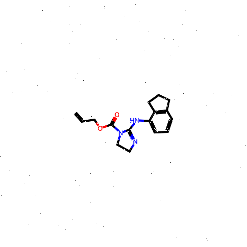 C=CCOC(=O)N1CCN=C1Nc1cccc2c1CCC2